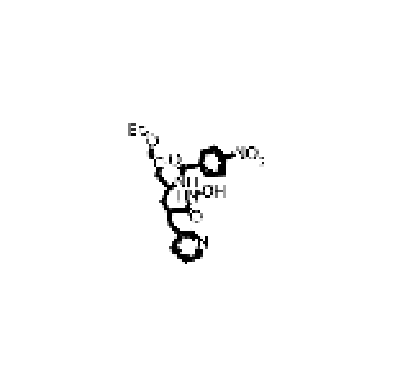 CCOCOCC(CC(Cc1cccnc1)C(=O)NO)NC(=O)c1ccc([N+](=O)[O-])cc1